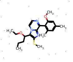 CCCC(OCC)c1c(SC)nc2c(-c3c(C)cc(C)cc3OC)nccn12